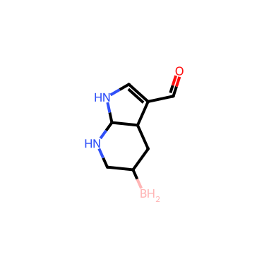 BC1CNC2NC=C(C=O)C2C1